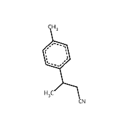 Cc1ccc(C(C)CC#N)cc1